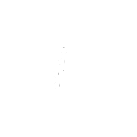 CC1CC2CC(C)C3(c4ccccc4-c4ccc(Nc5cccc(-c6ccccc6)c5)cc43)C(C1)C2